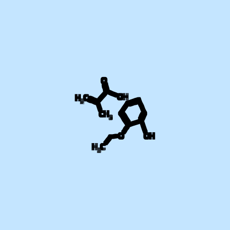 C=C(C)C(=O)O.CCOc1ccccc1O